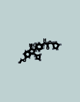 CCOc1ccc2c(c1)N(C1CCC1)C(c1ccc(NC(=O)OC3CCCC3)cc1)C2N